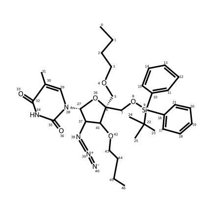 CCCCOC[C@@]1(CO[Si](c2ccccc2)(c2ccccc2)C(C)(C)C)O[C@@H](n2cc(C)c(=O)[nH]c2=O)C(N=[N+]=[N-])C1OCCCC